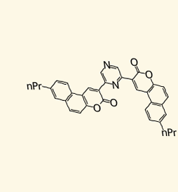 CCCc1ccc2c(ccc3oc(=O)c(-c4cncc(-c5cc6c(ccc7cc(CCC)ccc76)oc5=O)n4)cc32)c1